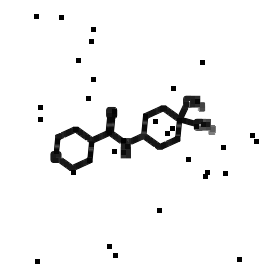 CC1(C)CCC(NC(=O)C2CCOCC2)CC1